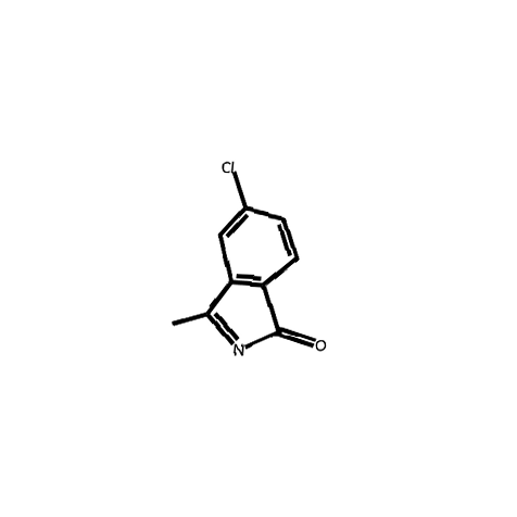 CC1=NC(=O)c2ccc(Cl)cc21